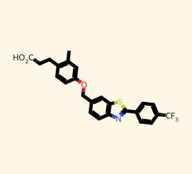 Cc1cc(OCc2ccc3nc(-c4ccc(C(F)(F)F)cc4)sc3c2)ccc1CCC(=O)O